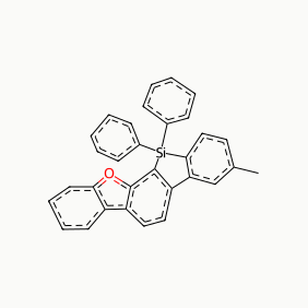 Cc1ccc2c(c1)-c1ccc3c(oc4ccccc43)c1[Si]2(c1ccccc1)c1ccccc1